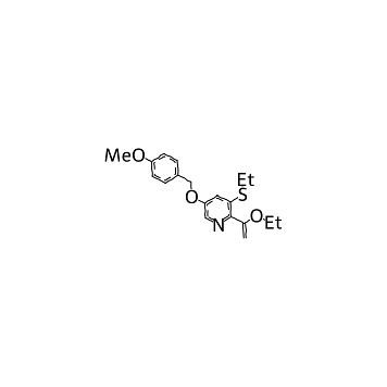 C=C(OCC)c1ncc(OCc2ccc(OC)cc2)cc1SCC